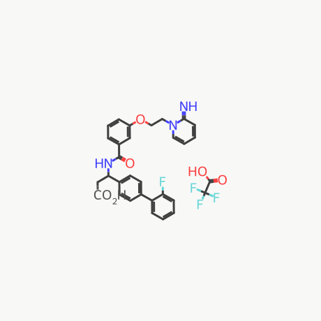 N=c1ccccn1CCOc1cccc(C(=O)NC(CC(=O)O)c2ccc(-c3ccccc3F)cc2)c1.O=C(O)C(F)(F)F